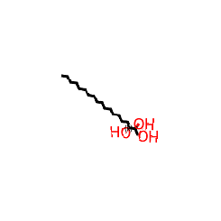 CCCCCCCCCCCCCCCC[C@@H](O)C(O)CO